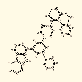 c1ccc(-c2nc(-c3ccc(-c4cccc5c4-c4ccccc4OC5)cc3)nc(-c3cccc4c3oc3ccccc34)n2)cc1